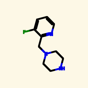 Fc1cccnc1CN1CCNCC1